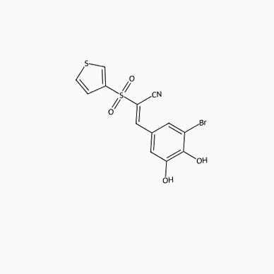 N#C/C(=C\c1cc(O)c(O)c(Br)c1)S(=O)(=O)c1ccsc1